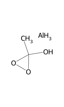 CC1(O)OO1.[AlH3]